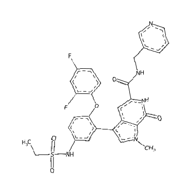 CCS(=O)(=O)Nc1ccc(Oc2ccc(F)cc2F)c(-c2cn(C)c3c(=O)[nH]c(C(=O)NCc4cccnc4)cc23)c1